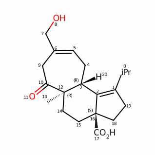 CC(C)C1=C2[C@H]3CC=C(CO)CC(=O)[C@]3(C)CC[C@@]2(C(=O)O)CC1